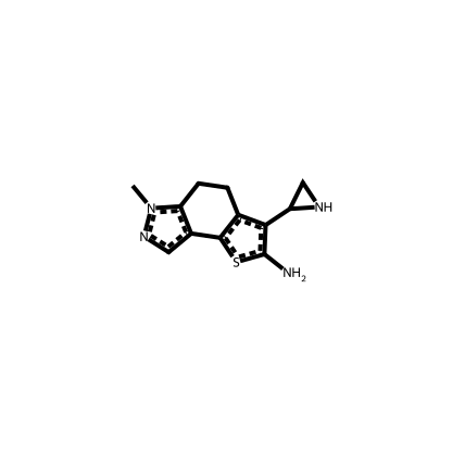 Cn1ncc2c1CCc1c-2sc(N)c1C1CN1